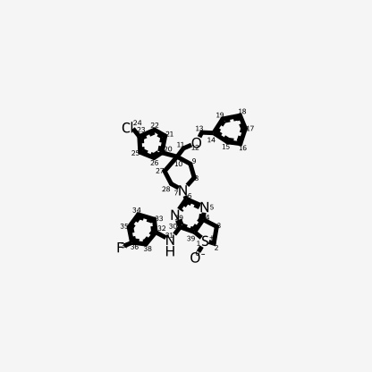 [O-][S+]1CCc2nc(N3CCC(COCc4ccccc4)(c4ccc(Cl)cc4)CC3)nc(Nc3cccc(F)c3)c21